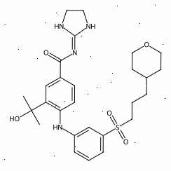 CC(C)(O)c1cc(C(=O)N=C2NCCN2)ccc1Nc1cccc(S(=O)(=O)CCCC2CCOCC2)c1